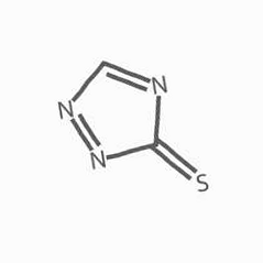 S=C1N=CN=N1